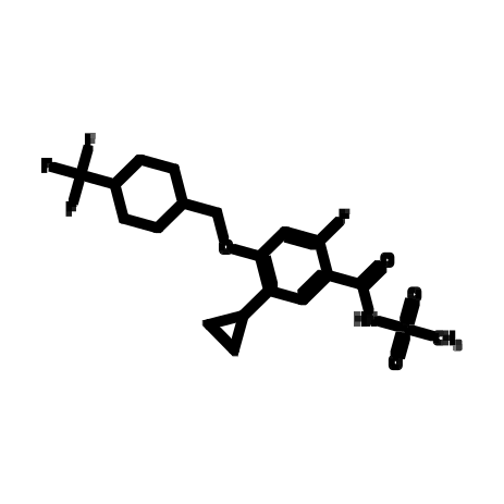 CS(=O)(=O)NC(=O)c1cc(C2CC2)c(OCC2CCC(C(F)(F)F)CC2)cc1F